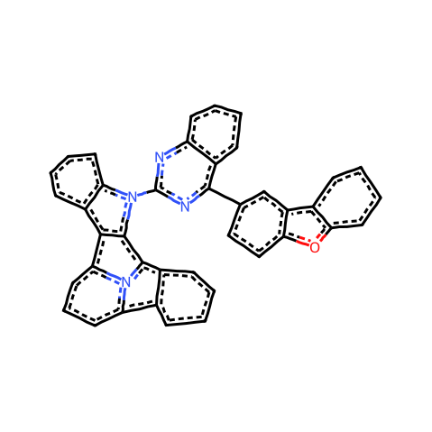 c1ccc2c(-c3ccc4oc5ccccc5c4c3)nc(-n3c4ccccc4c4c3c3c5ccccc5c5cccc4n53)nc2c1